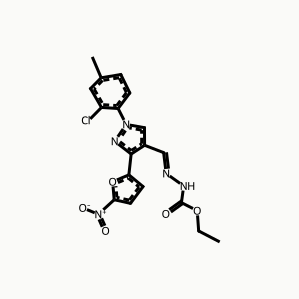 CCOC(=O)NN=Cc1cn(-c2ccc(C)cc2Cl)nc1-c1ccc([N+](=O)[O-])o1